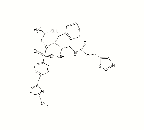 Cc1nc(-c2ccc(S(=O)(=O)N(CC(C)C)C(Cc3ccccc3)C(O)CNC(=O)OCc3cncs3)cc2)co1